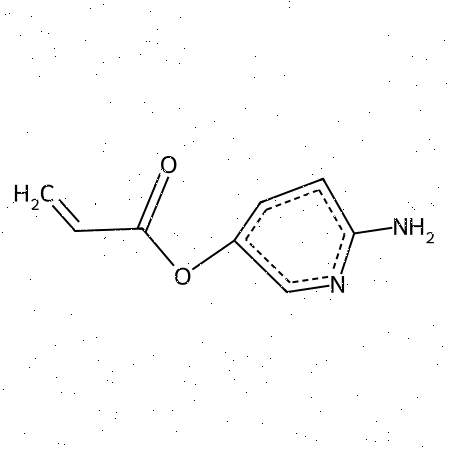 C=CC(=O)Oc1ccc(N)nc1